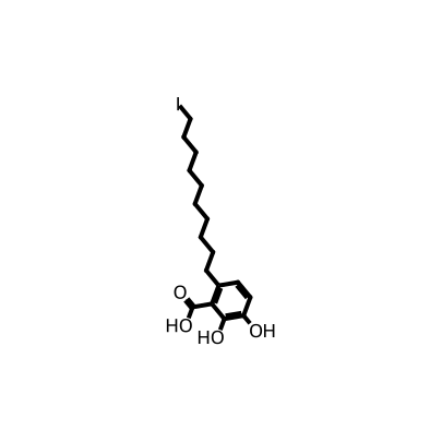 O=C(O)c1c(CCCCCCCCCCI)ccc(O)c1O